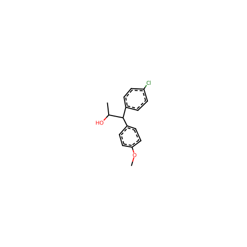 COc1ccc(C(c2ccc(Cl)cc2)C(C)O)cc1